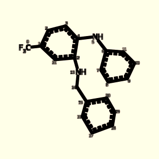 FC(F)(F)c1ccc(Nc2ccccc2)c(NCc2ccccc2)c1